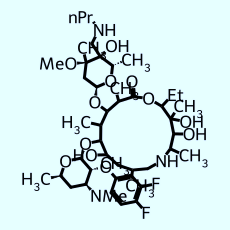 CCCNC[C@]1(O)[C@H](C)O[C@@H](OC2C(C)C(=O)OC(CC)C(C)(O)C(O)C(C)NCC(C)CC(C)(O)C(O[C@@H]3O[C@H](C)C[C@H](NC)[C@H]3Oc3ccc(F)c(F)c3)C2C)C[C@@]1(C)OC